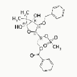 CC1(C)[C@]2(O)O[C@H]([C@@H](COC(=O)c3ccccc3)OS(C)(=O)=O)[C@H](OCc3ccccc3)[C@]12O